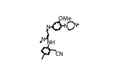 C=N/C(=C\C=N/c1ccc(N2CCN(C)CC2)c(OC)c1)Nc1ccc(C)cc1CC#N